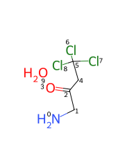 NCC(=O)CC(Cl)(Cl)Cl.O